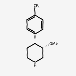 CO[C@@H]1CNCC[C@@H]1c1ccc(C(F)(F)F)cc1